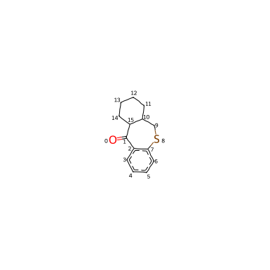 O=C1c2ccccc2SCC2CCCCC12